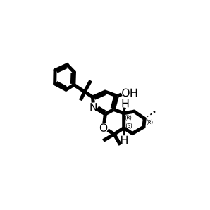 C[C@@H]1CC[C@H]2[C@@H](C1)c1c(O)cc(C(C)(C)c3ccccc3)nc1OC2(C)C